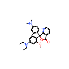 CCN(CC)c1ccc(C2(c3ccc(N(C)C)cc3C)OC(=O)c3cccnc32)c(OC)c1